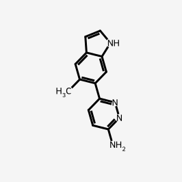 Cc1cc2cc[nH]c2cc1-c1ccc(N)nn1